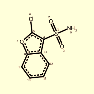 NS(=O)(=O)c1c(Cl)oc2ccccc12